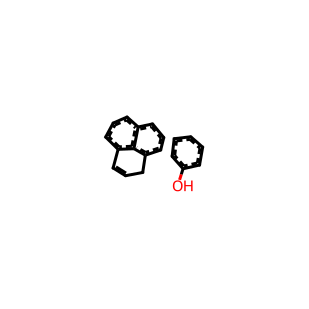 C1=Cc2cccc3cccc(c23)C1.Oc1ccccc1